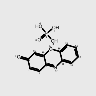 O=P(O)(O)O.O=c1ccc2nc3ccccc3oc-2c1